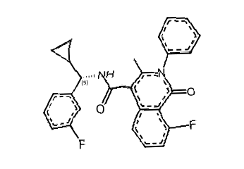 Cc1c(C(=O)N[C@H](c2cccc(F)c2)C2CC2)c2cccc(F)c2c(=O)n1-c1ccccc1